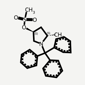 C[C@H]1C[C@H](OS(C)(=O)=O)CN1C(c1ccccc1)(c1ccccc1)c1ccccc1